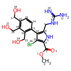 COC(=O)c1[nH]c(CNC(=N)N)c(-c2ccc(CO)c(CO)c2CO)c1Br